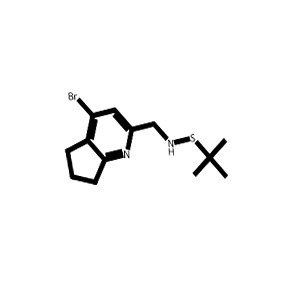 CC(C)(C)SNCc1cc(Br)c2c(n1)CCC2